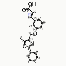 Cc1oc(-c2ccccc2)nc1COc1cccc(/C=C/C(=O)O)c1